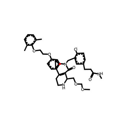 CNC(=O)CCc1ccc(Cl)c(CN(C(=O)C2=C(c3ccc(OCCOc4c(C)cccc4C)cc3)CCNC2COCOC)C2CC2)c1